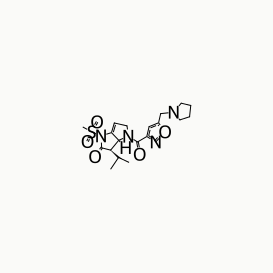 CC(C)[C@H]1C(=O)N(S(C)(=O)=O)C2=CCN(C(=O)c3cc(CN4CCCC4)on3)[C@@H]21